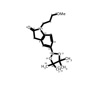 COCCCN1C(=O)Cc2cc(B3OC(C)(C)C(C)(C)O3)ccc21